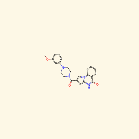 COc1cccc(N2CCN(C(=O)c3cc4[nH]c(=O)c5ccccc5n4c3)CC2)c1